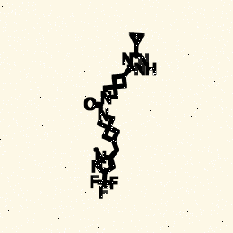 Cn1nc(C(F)(F)F)cc1CC1CC2(C1)CN(C(=O)N1CC3(CC(c4nc(C5CC5)n[nH]4)C3)C1)C2